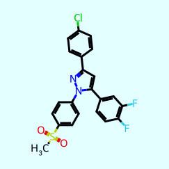 CS(=O)(=O)c1ccc(-n2nc(-c3ccc(Cl)cc3)cc2-c2ccc(F)c(F)c2)cc1